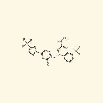 CNC(=O)OC(Cn1ccc(-c2noc(C(F)(F)F)n2)cc1=O)c1cccc(C(F)(F)F)c1